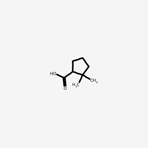 CC1(C)CCCC1C(=O)O